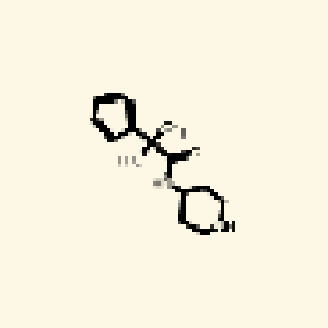 CC(C)(C(=O)NC1CCNCC1)c1ccccc1